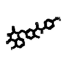 Nc1ccc(NC(=O)c2cc(Cn3c(=O)[nH]c(=O)c4c(F)cccc43)ccc2F)cc1